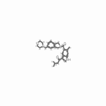 Cc1cc2[nH]nc(C(=O)CC(C)C)c2cc1C(=O)N1Cc2ccc(CN3CCOCC3)cc2C1